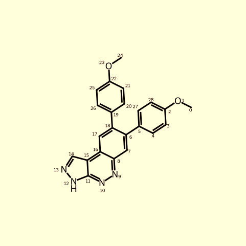 COc1ccc(-c2cc3nnc4[nH]ncc4c3cc2-c2ccc(OC)cc2)cc1